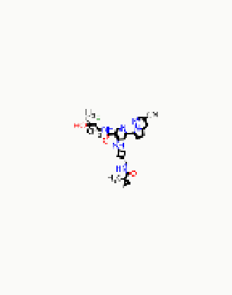 CC1(C(=O)NC[C@H]2C[C@H](Nc3cc(-c4ccc5cc(C#N)cnn45)ncc3C(=O)NC[C@@H](F)C(C)(C)O)C2)CC1